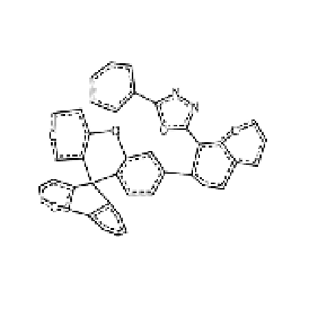 c1ccc(-c2nnc(-c3c(-c4ccc5c(c4)Oc4ccccc4C54c5ccccc5-c5ccccc54)ccc4ccccc34)o2)cc1